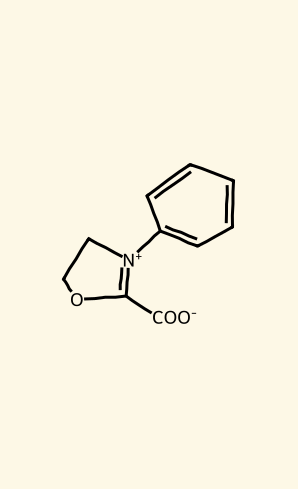 O=C([O-])C1=[N+](c2ccccc2)CCO1